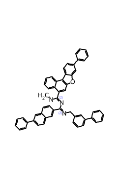 C=N/C(=N\C(=N/Cc1cccc(-c2ccccc2)c1)c1ccc2cc(-c3ccccc3)ccc2c1)c1cc2oc3cc(-c4ccccc4)ccc3c2c2ccccc12